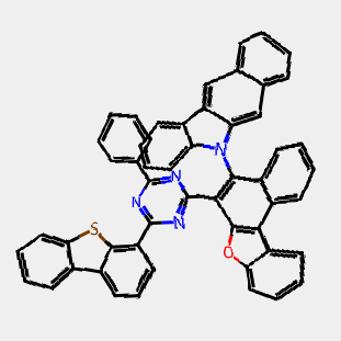 c1ccc(-c2nc(-c3c(-n4c5ccccc5c5cc6ccccc6cc54)c4ccccc4c4c3oc3ccccc34)nc(-c3cccc4c3sc3ccccc34)n2)cc1